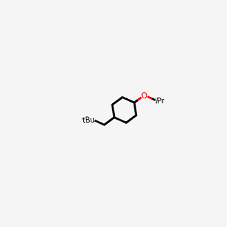 CC(C)OC1CCC(CC(C)(C)C)CC1